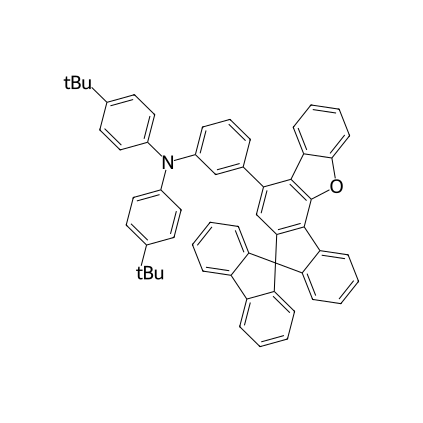 CC(C)(C)c1ccc(N(c2ccc(C(C)(C)C)cc2)c2cccc(-c3cc4c(c5oc6ccccc6c35)-c3ccccc3C43c4ccccc4-c4ccccc43)c2)cc1